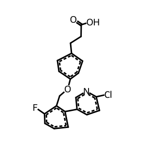 O=C(O)CCc1ccc(OCc2c(F)cccc2-c2ccc(Cl)nc2)cc1